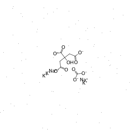 O=C([O-])CC(O)(CC(=O)[O-])C(=O)[O-].O=C([O-])[O-].[K+].[K+].[K+].[Na+].[Na+]